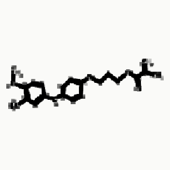 C=C(C)C(=O)OCCCOc1ccc(Oc2ccc(OC)c(C)c2)cc1